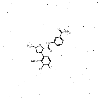 COc1c([C@H]2C[C@@H](C)O[C@@H]2C(=O)Nc2ccnc(C(N)=O)c2)ccc(F)c1Cl